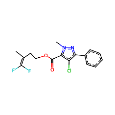 CC(CCOC(=O)c1c(Cl)c(-c2ccccc2)nn1C)=C(F)F